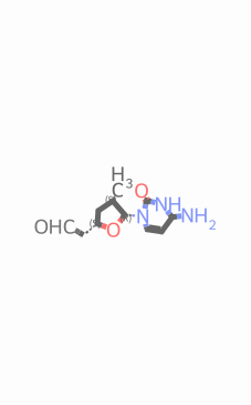 C[C@H]1C[C@@H](CC=O)O[C@H]1N1C=CC(N)NC1=O